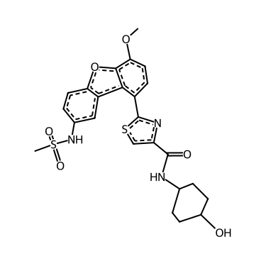 COc1ccc(-c2nc(C(=O)NC3CCC(O)CC3)cs2)c2c1oc1ccc(NS(C)(=O)=O)cc12